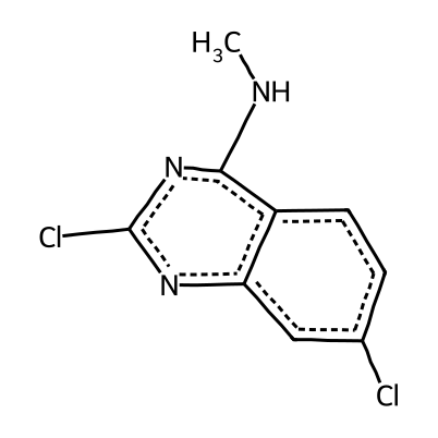 CNc1nc(Cl)nc2cc(Cl)ccc12